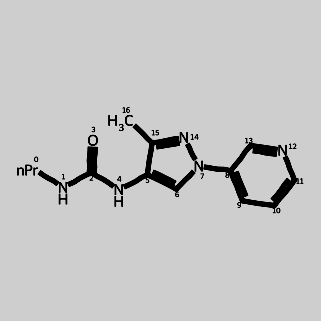 CCCNC(=O)Nc1cn(-c2cccnc2)nc1C